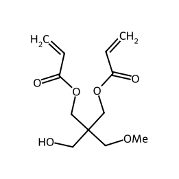 C=CC(=O)OCC(CO)(COC)COC(=O)C=C